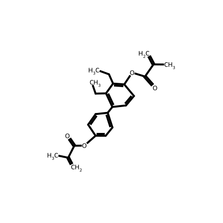 C=C(C)C(=O)Oc1ccc(-c2ccc(OC(=O)C(=C)C)c(CC)c2CC)cc1